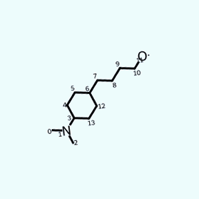 CN(C)C1CCC(CCCC[O])CC1